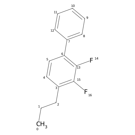 CCCc1ccc(-c2ccccc2)c(F)c1F